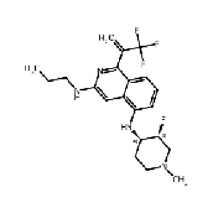 C=C(c1nc(NCCC)cc2c(N[C@@H]3CCN(C)C[C@@H]3F)cccc12)C(F)(F)F